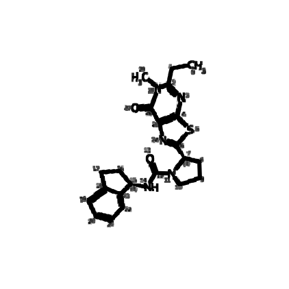 CCc1nc2sc([C@H]3CCCN3C(=O)N[C@@H]3CCc4ccccc43)nc2c(=O)n1C